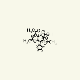 CC(=O)OC1C[C@](OC(C)=O)(C(=O)O)C=C(c2cccs2)[C@H]1OC(C)=O